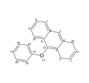 C1=CCc2c(cc3ccccc3c2Oc2ccccc2)C1